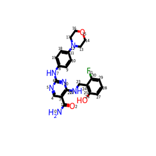 NC(=O)c1cnc(Nc2ccc(N3CCOCC3)cc2)nc1NCc1c(O)cccc1F